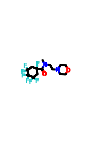 CN(CCN1CCOCC1)C(=O)C1(F)CC(F)(F)C(F)(F)C(F)(F)C1